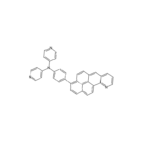 c1cnc2c(c1)cc1ccc3c(-c4ccc(N(c5ccncc5)c5ccncc5)cc4)ccc4ccc2c1c43